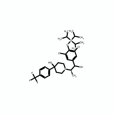 CC(C)[Si](Oc1c(Cl)cc(C(O)[C@@H](C)N2CCC(O)(c3ccc(C(F)(F)F)cc3)CC2)cc1Cl)(C(C)C)C(C)C